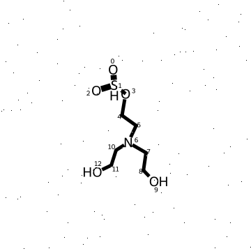 O=[SH](=O)OCCN(CCO)CCO